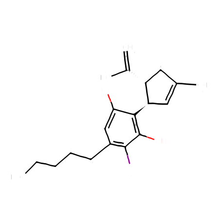 C=C(C)[C@@H]1CC(C)=C[C@H]1c1c(O)cc(CCCCC)c(I)c1O